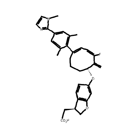 C=C1/C(F)=C\C=C(\c2c(C)cc(-c3nccn3C)cc2C)CCC[C@H]1Oc1ccc2c(c1)OC[C@H]2CC(=O)O